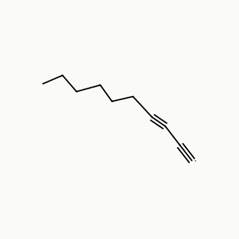 [C]#CC#CCCCCCC